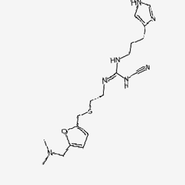 CN(C)Cc1ccc(CSCCN=C(NC#N)NCCCc2c[nH]cn2)o1